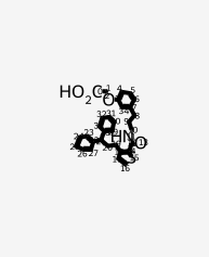 O=C(O)COc1cccc(CCCNC(=O)c2sccc2CCC(c2ccccc2)c2ccccc2)c1